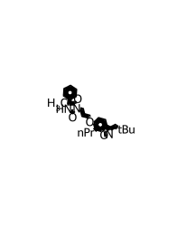 CCCc1c(OCCCN2C(=O)NC(C)(c3ccccc3)C2=O)ccc2c(CC(C)(C)C)noc12